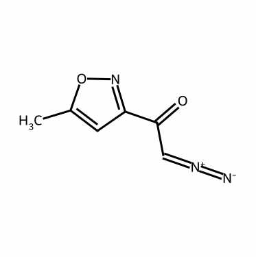 Cc1cc(C(=O)C=[N+]=[N-])no1